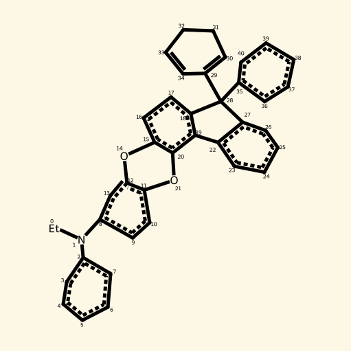 CCN(c1ccccc1)c1ccc2c(c1)Oc1ccc3c(c1O2)-c1ccccc1C3(C1=CCCC=C1)c1ccccc1